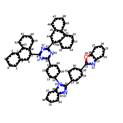 c1ccc2c(c1)cc(-c1nc(-c3ccc(-n4c(-c5ccc(-c6nc7ccccc7o6)cc5)nc5ccccc54)cc3)nc(-c3cc4ccccc4c4ccccc34)n1)c1ccccc12